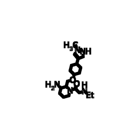 CCNCC(=O)N1CCCC(N)C1COC1CCC(C2=CN(C)NC2)CC1